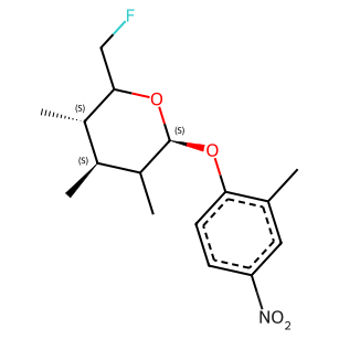 Cc1cc([N+](=O)[O-])ccc1O[C@@H]1OC(CF)[C@@H](C)[C@H](C)C1C